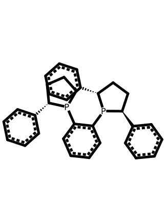 c1ccc([C@@H]2CCCP2c2ccccc2P2[C@H](c3ccccc3)CC[C@H]2c2ccccc2)cc1